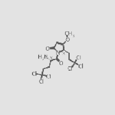 COC1=CC(=O)N(C(=O)[C@@H](N)CCC(Cl)(Cl)Cl)[C@@H]1CCC(Cl)(Cl)Cl